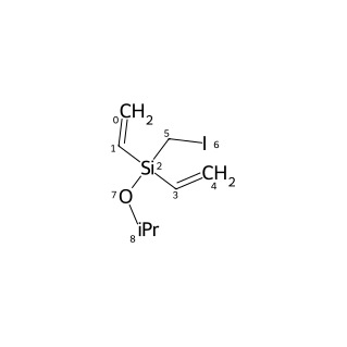 C=C[Si](C=C)(CI)OC(C)C